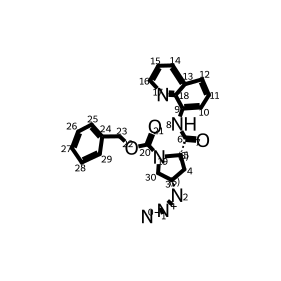 [N-]=[N+]=N[C@H]1C[C@@H](C(=O)Nc2cccc3cccnc23)N(C(=O)OCc2ccccc2)C1